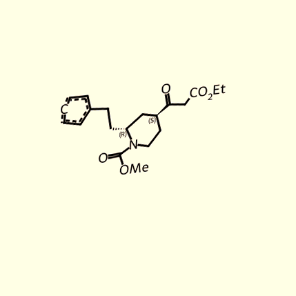 CCOC(=O)CC(=O)[C@H]1CCN(C(=O)OC)[C@H](CCc2ccccc2)C1